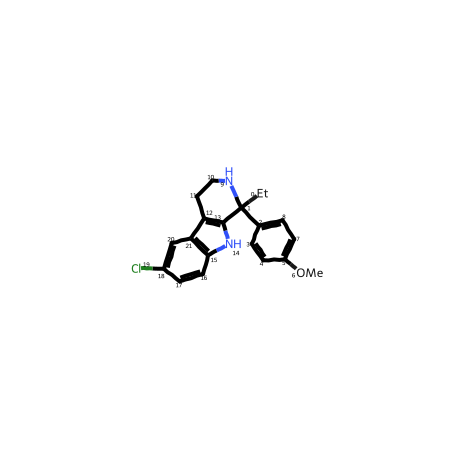 CCC1(c2ccc(OC)cc2)NCCc2c1[nH]c1ccc(Cl)cc21